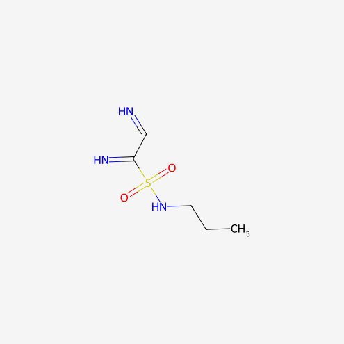 CCCNS(=O)(=O)C(=N)C=N